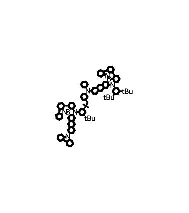 CC(C)(C)c1cc(N2c3cc4cc5ccc(N(c6ccccc6)c6cccc(CC(C)(C)c7cc(N8c9cc%10cc%11ccc(-n%12c%13ccccc%13c%13ccccc%13%12)cc%11cc%10cc9B9c%10c(cccc%108)-c8cccc%10c%11ccccc%11n9c8%10)cc(C(C)(C)C)c7)c6)cc5cc4cc3B3c4c(cccc42)-c2cccc4c5ccccc5n3c24)cc(C(C)(C)C)c1